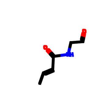 C/C=C/C(=O)NCC=O